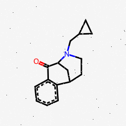 O=C1c2ccccc2C2CCN(CC3CC3)C1C2